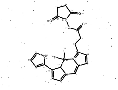 O=C(CCC1=[N+]2C(=CC3=CC=C(c4ccc[nH]4)C3[B-]2(F)F)C=C1)ON1C(=O)CCC1=O